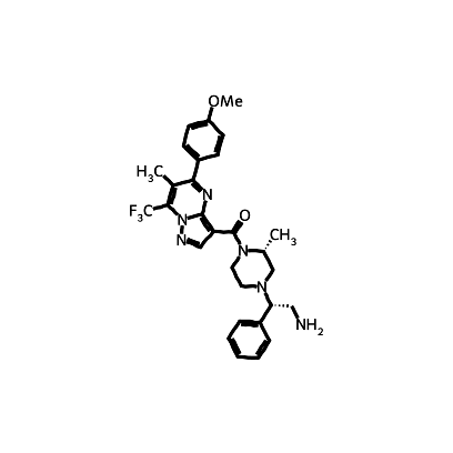 COc1ccc(-c2nc3c(C(=O)N4CCN([C@H](CN)c5ccccc5)C[C@H]4C)cnn3c(C(F)(F)F)c2C)cc1